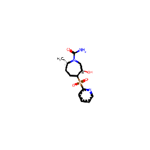 C[C@H]1CC[C](S(=O)(=O)c2ccccn2)[C@H](O)CN1C(N)=O